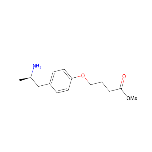 COC(=O)CCCOc1ccc(C[C@@H](C)N)cc1